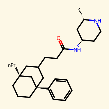 CCC[C@@]12CCC[C@@](c3ccccc3)(CC(CCC(=O)N[C@H]3CCN[C@@H](C)C3)C1)C2